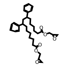 O=C(CCCCCCC(CC(CCCCCC(=O)OCC1CO1)c1ccccc1)c1ccccc1)OCC1CO1